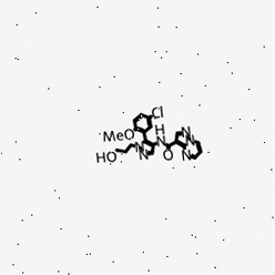 COc1ccc(Cl)cc1-c1c(NC(=O)c2cnn3cccnc23)cnn1CCCO